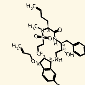 C=CCC[C@@H](C(=O)N[C@@H](Cc1ccccc1)[C@H](O)CN[C@H]1C[C@@H](OCC=C)c2ccc(Br)cc21)N(C)S(=O)(=O)CCC(F)(F)F